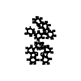 c1ccc(-c2cc(-c3nc(-c4cccc5c4oc4ccccc45)nc(-c4cccc5c4oc4ccccc45)n3)cc(-n3c4ccccc4c4ccc5c6ccccc6sc5c43)c2)cc1